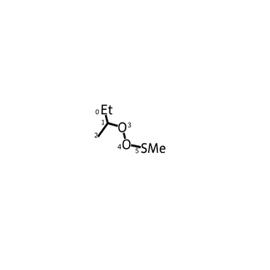 CCC(C)OOSC